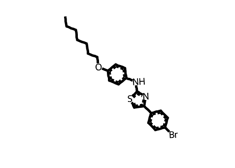 CCCCCCCOc1ccc(Nc2nc(-c3ccc(Br)cc3)cs2)cc1